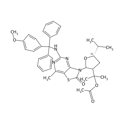 COc1ccc(C(Nc2nc(C)c3sc(=O)n(C4O[C@H](C(C)C)CC4C(C)(C)OC(C)=O)c3n2)(c2ccccc2)c2ccccc2)cc1